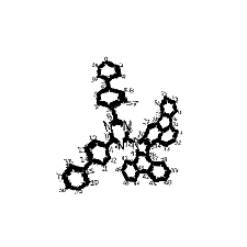 c1ccc(-c2ccc(-c3nc(-c4ccc(-c5ccccc5)cc4)nc(-n4c5cc6c7c(cccc7c5c5c7ccccc7c7ccccc7c54)-c4ccccc4-6)n3)cc2)cc1